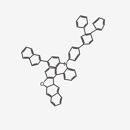 C1=c2ccccc2=CC2c3c(cccc3-c3ccccc3N(c3ccc(-c4ccc(-c5ccccc5)c(-c5ccccc5)c4)cc3)c3ccc(-c4ccc5ccccc5c4)cc3)OC12